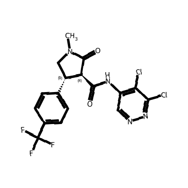 CN1C[C@@H](c2ccc(C(F)(F)F)cc2)[C@H](C(=O)Nc2cnnc(Cl)c2Cl)C1=O